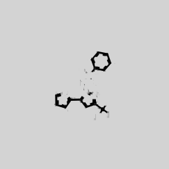 O=S(=O)(Nn1nc(C(F)(F)F)cc1-c1ccco1)c1ccccc1